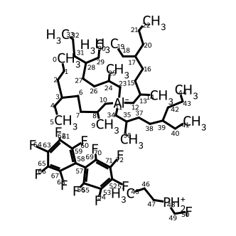 CCCC(CC)CCC(C)[CH2][Al-]([CH2]C(C)CCC(CC)CCC)([CH2]C(C)CCC(CC)CCC)[CH2]C(C)CCC(CC)CCC.CCC[PH2+]CF.Fc1c(F)c(F)c(-c2c(F)c(F)c(F)c(F)c2F)c(F)c1F